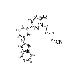 N#CCCCCn1nc(-c2cccc(-c3cc4ccccn4n3)c2)ccc1=O